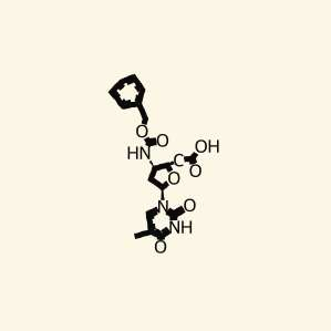 Cc1cn([C@H]2C[C@H](NC(=O)OCc3ccccc3)[C@@H](CC(=O)O)O2)c(=O)[nH]c1=O